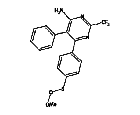 COOSc1ccc(-c2nc(C(F)(F)F)nc(N)c2-c2ccccc2)cc1